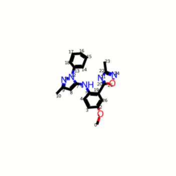 COc1ccc(Nc2cc(C)nn2-c2ccccc2)c(-c2nc(C)no2)c1